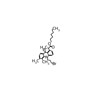 CCCCCCCOC(=O)C(C)c1cccc2c1c(=O)c1ccc(C)c(C)c1n2CCCBr